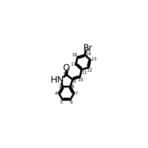 O=C1Nc2ccccc2/C1=C/c1ccc(Br)cc1